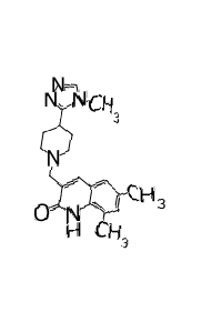 Cc1cc(C)c2[nH]c(=O)c(CN3CCC(c4nncn4C)CC3)cc2c1